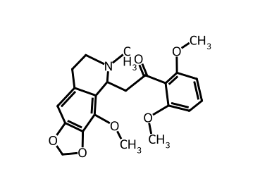 COc1cccc(OC)c1C(=O)CC1c2c(cc3c(c2OC)OCO3)CCN1C